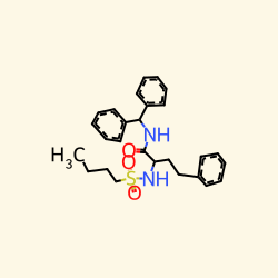 CCCCS(=O)(=O)NC(CCc1ccccc1)C(=O)NC(c1ccccc1)c1ccccc1